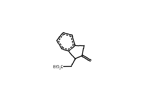 C=C1Cc2ccccc2C1CC(=O)OCC